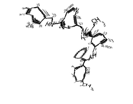 Cc1cccc(C(=O)Nc2cccc([C@H](C)Nc3cncc(NCc4ccccc4)n3)c2)c1